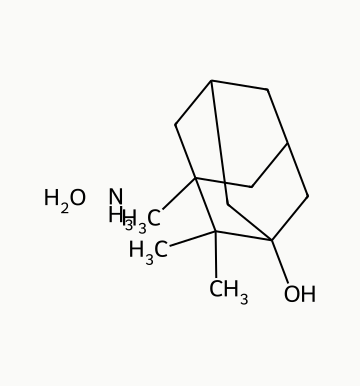 CC12CC3CC(C1)CC(O)(C3)C2(C)C.N.O